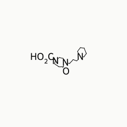 O=C(O)N1CCC(=O)N(CCCN2CCCCC2)CC1